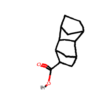 CC(C)OC(=O)C1CC2CC1C1C3CCC(C3)C21